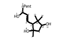 CCCCCC(O)C=CC1C(C)(O)CC(O)C1(C)C